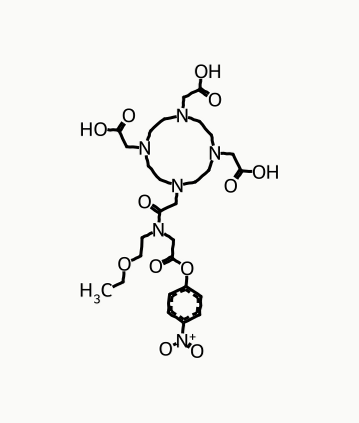 CCOCCN(CC(=O)Oc1ccc([N+](=O)[O-])cc1)C(=O)CN1CCN(CC(=O)O)CCN(CC(=O)O)CCN(CC(=O)O)CC1